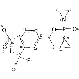 CC(OP(=O)(N1CC1)N1CC1)c1ccc([N+](=O)[O-])c(C(F)(F)F)c1